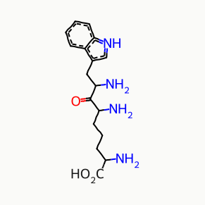 NC(CCCC(N)C(=O)C(N)Cc1c[nH]c2ccccc12)C(=O)O